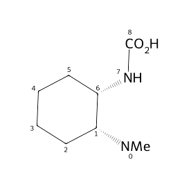 CN[C@@H]1CCCC[C@@H]1NC(=O)O